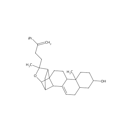 C=C(CCC1(C)OC2C3CC1C21CCC2C(=CCC4CC(O)CCC42C)C31)C(C)C